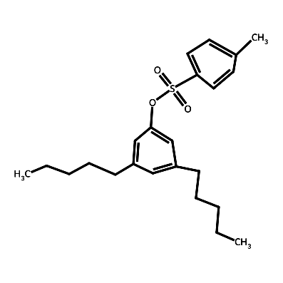 CCCCCc1cc(CCCCC)cc(OS(=O)(=O)c2ccc(C)cc2)c1